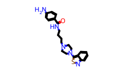 Nc1ccc(C(=O)NCCCCN2CCN(c3snc4ccccc34)CC2)cc1